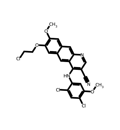 COc1cc(Nc2c(C#N)cnc3cc4cc(OC)c(OCCCl)cc4cc23)c(Cl)cc1Cl